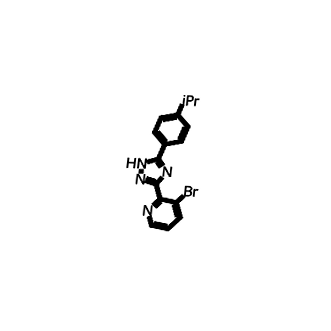 CC(C)c1ccc(-c2nc(-c3ncccc3Br)n[nH]2)cc1